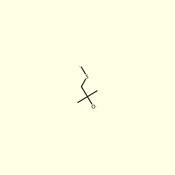 [CH2]SCC(C)(C)[O]